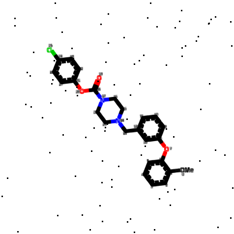 COc1ccccc1Oc1cccc(CN2CCN(C(=O)Oc3ccc(Cl)cc3)CC2)c1